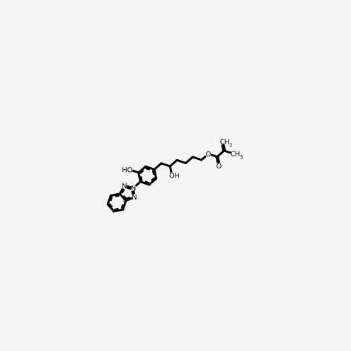 C=C(C)C(=O)OCCCCC(O)Cc1ccc(-n2nc3ccccc3n2)c(O)c1